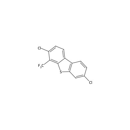 FC(F)(F)c1c(Cl)ccc2c1sc1cc(Cl)ccc12